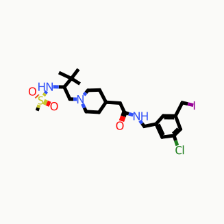 CC(C)(C)C(CN1CCC(CC(=O)NCc2cc(Cl)cc(CI)c2)CC1)NS(C)(=O)=O